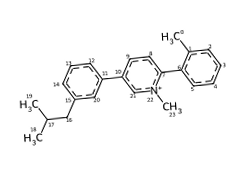 Cc1ccccc1-c1ccc(-c2cccc(CC(C)C)c2)c[n+]1C